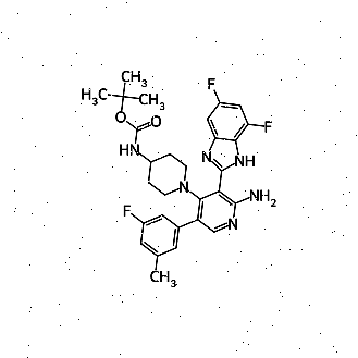 Cc1cc(F)cc(-c2cnc(N)c(-c3nc4cc(F)cc(F)c4[nH]3)c2N2CCC(NC(=O)OC(C)(C)C)CC2)c1